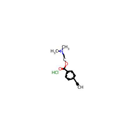 C#Cc1ccc(C(=O)OCCN(C)C)cc1.Cl